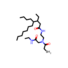 BCC(=O)N(CCNC(=O)CC(CC)C(CCCC)CCCCCCC)CC(=O)NCC